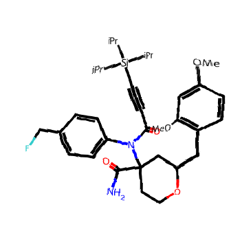 COc1ccc(CC2CC(C(N)=O)(N(C(=O)C#C[Si](C(C)C)(C(C)C)C(C)C)c3ccc(CF)cc3)CCO2)c(OC)c1